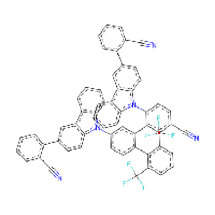 N#Cc1ccc(-n2c3ccccc3c3cc(-c4ccccc4C#N)ccc32)c(-c2cc(-n3c4ccccc4c4cc(-c5ccccc5C#N)ccc43)ccc2-c2c(C(F)(F)F)cccc2C(F)(F)F)c1